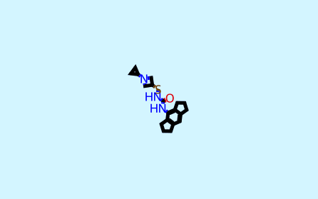 O=C(NSC1CN(C2CC2)C1)Nc1c2c(cc3c1CCC3)CCC2